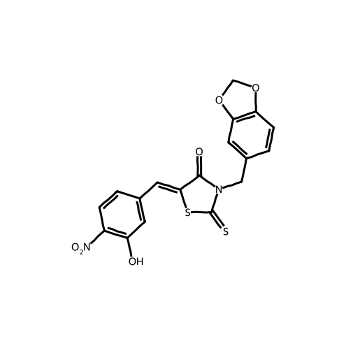 O=C1/C(=C/c2ccc([N+](=O)[O-])c(O)c2)SC(=S)N1Cc1ccc2c(c1)OCO2